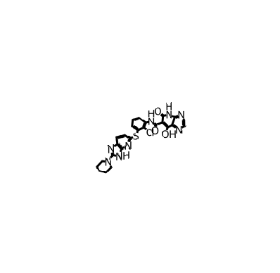 O=C(Nc1cccc(Sc2ccc3nc(N4CCCCC4)[nH]c3n2)c1Cl)c1c(O)c2nccnc2[nH]c1=O